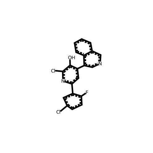 Oc1c(-c2cncc3ccccc23)cc(-c2cc(Cl)ccc2F)nc1Cl